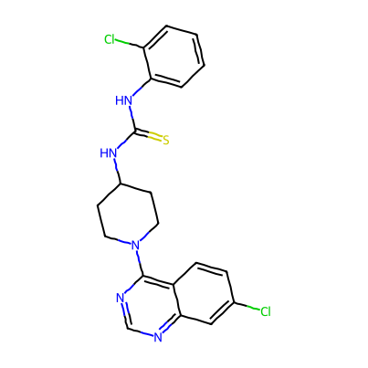 S=C(Nc1ccccc1Cl)NC1CCN(c2ncnc3cc(Cl)ccc23)CC1